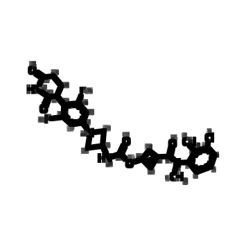 Cc1c(Cl)cccc1N(C)C(=O)C12CC(OC(=O)NC3CN(c4cc(F)c(C5CCC(=O)NC5=O)c(F)c4)C3)(C1)C2